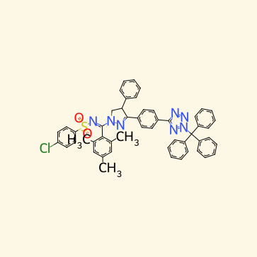 Cc1cc(C)c(/C(=N\S(=O)(=O)c2ccc(Cl)cc2)N2CC(c3ccccc3)C(c3ccc(-c4nnn(C(c5ccccc5)(c5ccccc5)c5ccccc5)n4)cc3)=N2)c(C)c1